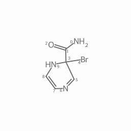 NC(=O)C1(Br)C=NC=CN1